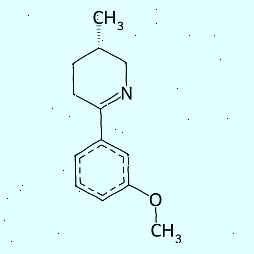 COc1cccc(C2=NC[C@@H](C)CC2)c1